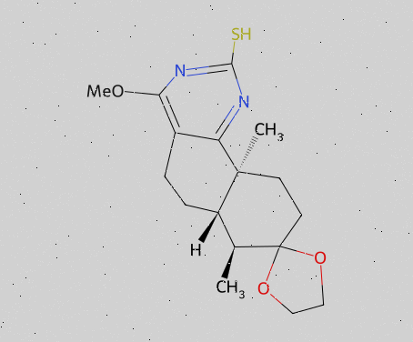 COc1nc(S)nc2c1CC[C@H]1[C@H](C)C3(CC[C@]21C)OCCO3